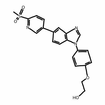 CS(=O)(=O)c1ccc(-c2ccc3c(c2)ncn3-c2ccc(OCCO)cc2)cn1